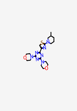 CC1CCCN(c2nc(-c3nc(N4CCOCC4)nc(N4CCOCC4)n3)cs2)C1